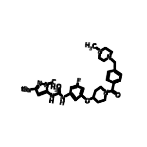 CN1CCN(Cc2ccc(C(=O)N3CCC(Oc4cc(F)cc(NC(=O)Nc5cc(C(C)(C)C)nn5C)c4)CC3)cc2)CC1